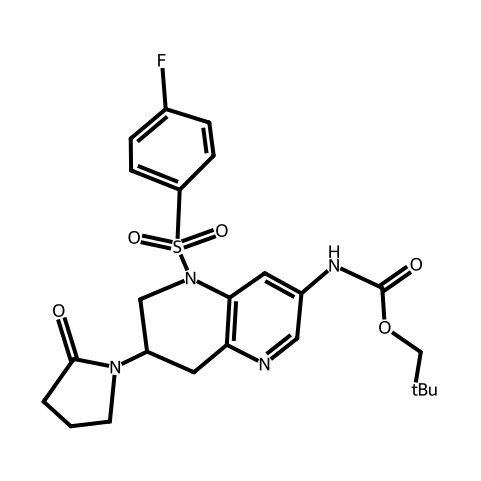 CC(C)(C)COC(=O)Nc1cnc2c(c1)N(S(=O)(=O)c1ccc(F)cc1)CC(N1CCCC1=O)C2